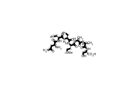 CSCC[C@H](NC(=O)[C@H](CC(C)C)NC(=O)[C@H](CC(C)C)NC(=O)[C@@H](N)CC(N)=O)C(=O)N[C@@H](C)C(=O)N[C@@H](C)C(=O)N[C@@H](CO)C(=O)O